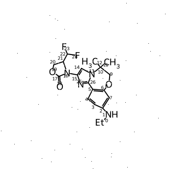 CCNc1ccc2c(c1)OCC(C)(C)n1cc(N3C(=O)OCC3C(F)F)nc1-2